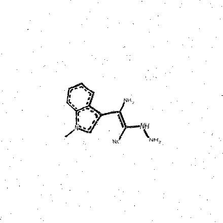 Cn1cc(/C(N)=C(\C#N)NN)c2ccccc21